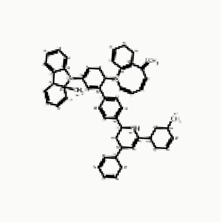 C=C1/C=C\C=C/N(C2CC=C(N3c4ccccc4C4C=CC=CC43C)C=C2c2ccc(C3CC(C4C=CC=CC4)C=C(C4CC=CC(C)C4)N3)cc2)C2=C1CCC=C2